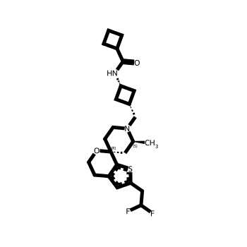 C[C@H]1C[C@@]2(CCN1C[C@H]1C[C@@H](NC(=O)C3CCC3)C1)OCCc1cc(CC(F)F)sc12